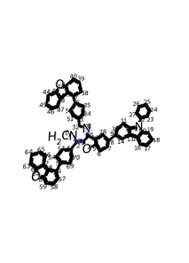 C=N/C(=C1/Oc2ccc(-c3ccc4c(c3)c3ccccc3n4-c3ccccc3)cc2/C1=N/Cc1ccc(-c2cccc3oc4ccccc4c23)cc1)c1ccc(-c2cccc3oc4ccccc4c23)cc1